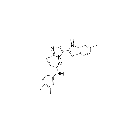 Cc1ccc2cc(-c3cnc4ccc(Nc5ccc(C)c(C)c5)nn34)[nH]c2c1